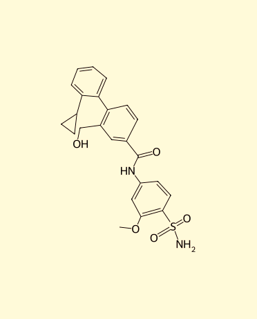 COc1cc(NC(=O)c2ccc(-c3ccccc3C3CC3)c(CO)c2)ccc1S(N)(=O)=O